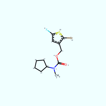 CN(C(=O)OCc1cc(F)sc1Br)C1CCCC1